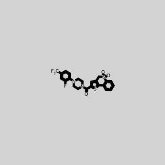 O=C(c1cc2c(s1)-c1ccccc1S(=O)(=O)C2)N1CCN(c2ccc(C(F)(F)F)cc2F)CC1